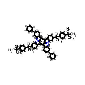 CC(C)(C)c1ccc(C(C)(C)c2ccc3c4c5c6ccc(-c7ccccc7)cc6n6c7cc(C(C)(C)c8ccc(C(C)(C)C)cc8)ccc7c(c7c8ccc(-c9ccccc9)cc8n(c3c2)c74)c56)cc1